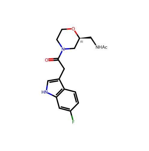 CC(=O)NC[C@H]1CN(C(=O)Cc2c[nH]c3cc(F)ccc23)CCO1